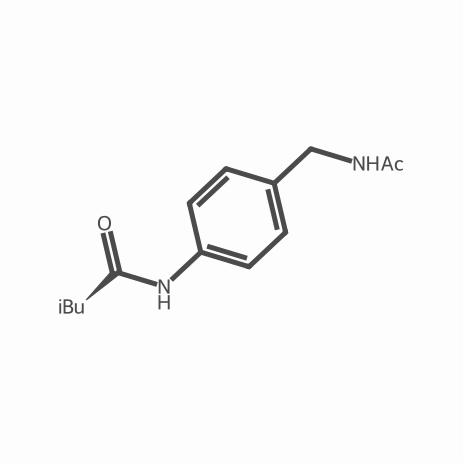 CC[C@H](C)C(=O)Nc1ccc(CNC(C)=O)cc1